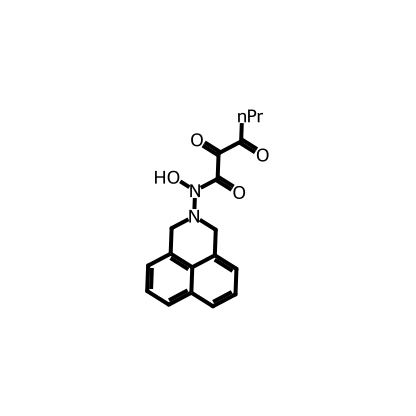 CCCC(=O)C(=O)C(=O)N(O)N1Cc2cccc3cccc(c23)C1